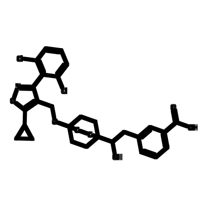 O=C(O)c1cccc(CC(O)C23CCC(OCc4c(-c5c(Cl)cccc5Cl)noc4C4CC4)(CC2)CC3)c1